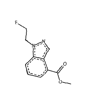 COC(=O)c1cccc2c1cnn2CCF